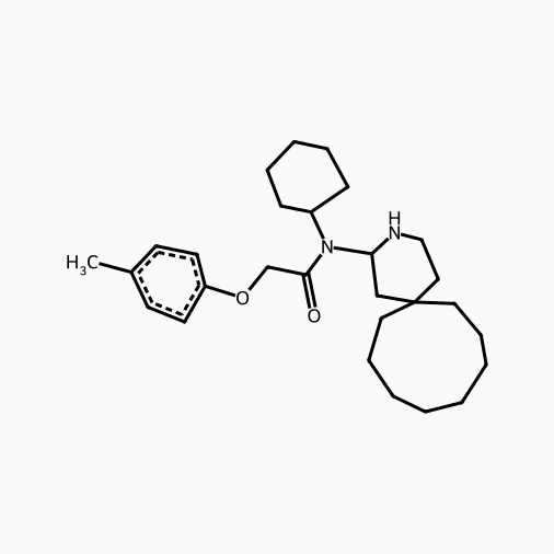 Cc1ccc(OCC(=O)N(C2CCCCC2)C2CC3(CCCCCCCC3)CCN2)cc1